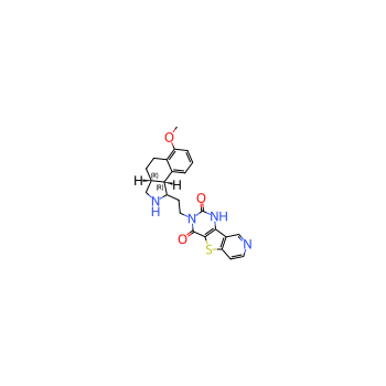 COc1cccc2c1CC[C@H]1CNC(CCn3c(=O)[nH]c4c(sc5ccncc54)c3=O)[C@@H]21